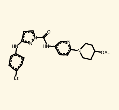 CCc1ccc(Nc2ccn(C(=O)Nc3ccc(N4CCC(OC(C)=O)CC4)nc3)n2)cc1